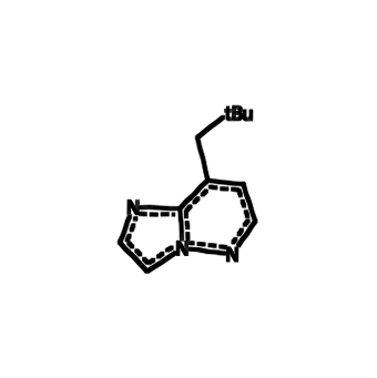 CC(C)(C)Cc1ccnn2ccnc12